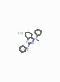 CN(c1ccccc1)c1nc(Nc2ccccc2)nc2c1CCCC2.Cl